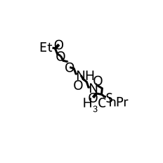 CCCSC(C)C1CC(=O)N(CCC(=O)NCCOCCOCC(=O)CC)C1=O